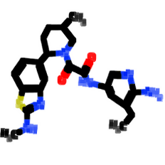 CCc1cc(NC(=O)C(=O)N2CC(C)CCC2c2ccc3sc(NC)nc3c2)cnc1N